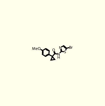 COc1ccc(C2(C(=O)Nc3ncc(Br)s3)CC2)cc1